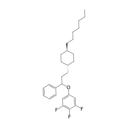 CCCCCCC[C@H]1CC[C@H](CCC(Oc2cc(F)c(F)c(F)c2)c2ccccc2)CC1